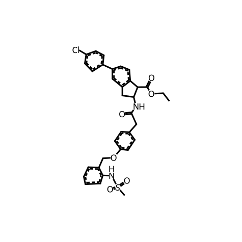 CCOC(=O)C1c2ccc(-c3ccc(Cl)cc3)cc2CC1NC(=O)Cc1ccc(OCc2ccccc2NS(C)(=O)=O)cc1